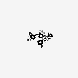 CC(C)Oc1cc(CN2CC[C@@]3(C[C@@H]2C)CN(c2ncco2)S(=O)(=O)N3c2cccc(F)c2)ccc1O